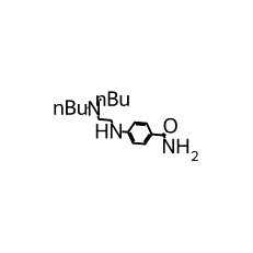 CCCCN(CCCC)CCNc1ccc(C(N)=O)cc1